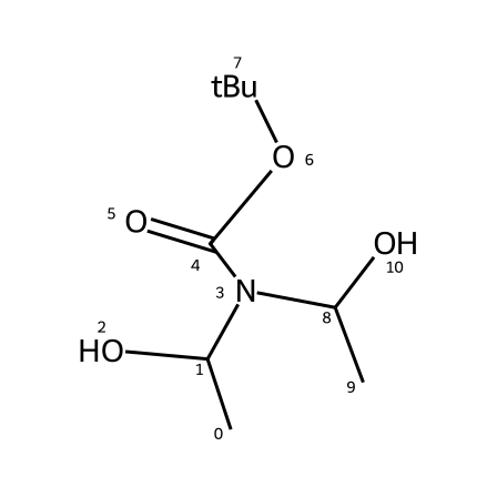 CC(O)N(C(=O)OC(C)(C)C)C(C)O